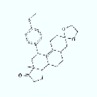 CSc1ccc(C2CC3(C)C(=O)CCC3C3CCC4CC5(CCC4=C23)OCCO5)cc1